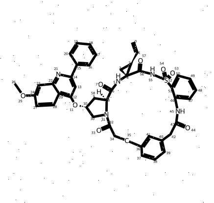 C=C[C@@H]1C[C@@]12NC(=O)[C@@H]1C[C@@H](Oc3cc(-c4ccccc4)nc4cc(OC)ccc34)CN1C(=O)CCc1cccc(c1)CC(=O)Nc1ccccc1S(=O)(=O)NC2=O